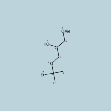 CCC(C)(C)OCC(O)COC